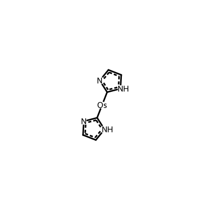 c1c[nH][c]([Os][c]2ncc[nH]2)n1